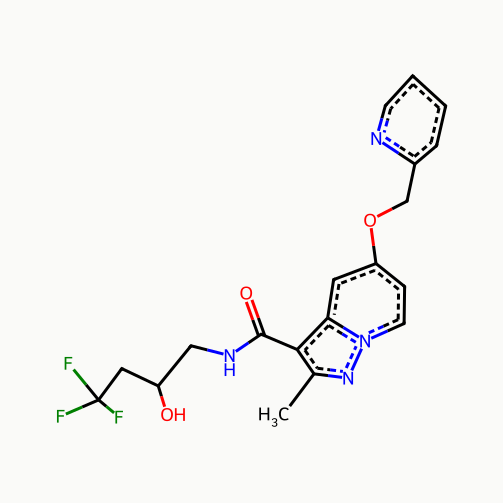 Cc1nn2ccc(OCc3ccccn3)cc2c1C(=O)NCC(O)CC(F)(F)F